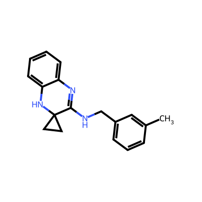 Cc1cccc(CNC2=Nc3ccccc3NC23CC3)c1